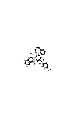 C1=CNc2ccccc2C=C1.Cc1ccc(S(=O)(=O)C2=c3ccc4c(c3CCC2)C(CBr)C=c2ccccc2=4)cc1